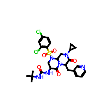 CC(C)(C)NC(=O)NC1CN(S(=O)(=O)c2ccc(Cl)cc2Cl)C2CN(C3CC3)C(=O)C(Cc3cccnc3)N2C1=O